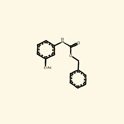 CC(=O)Oc1cccc(NC(=O)OCc2ccccc2)c1